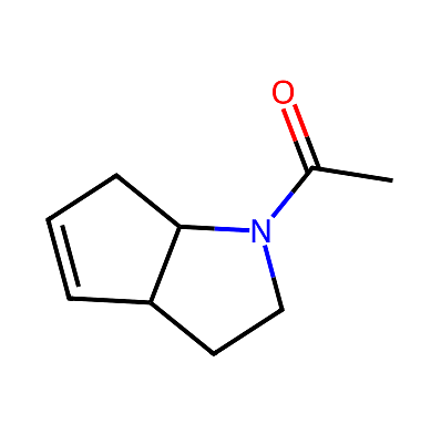 CC(=O)N1CCC2C=CCC21